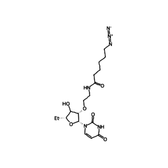 CC[C@H]1O[C@@H](n2ccc(=O)[nH]c2=O)[C@@H](OCCNC(=O)CCCCCN=[N+]=[N-])C1O